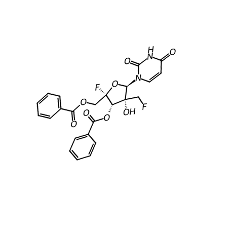 O=C(OC[C@@]1(F)O[C@@H](n2ccc(=O)[nH]c2=O)[C@@](O)(CF)[C@@H]1OC(=O)c1ccccc1)c1ccccc1